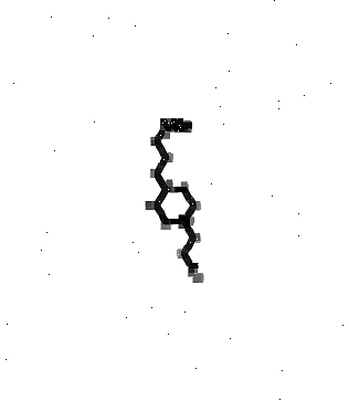 CNCCCC1CCN(CCF)CC1